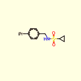 CC(C)c1ccc(CNS(=O)(=O)C2CC2)cc1